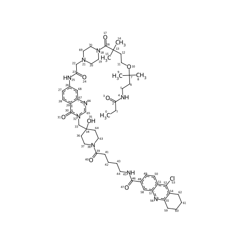 CCC(=O)NCCC(C)(C)OCCC(C)(C)C(=O)N1CCN(CC(=O)Nc2ccc3c(=O)n(CC4(O)CCN(C(=O)CCCCNC(=O)c5ccc6c(Cl)c7c(nc6c5)CCCC7)CC4)cnc3c2)CC1